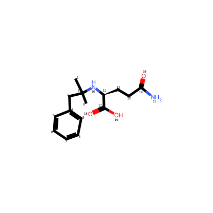 CC(C)(Cc1ccccc1)N[C@@H](CCC(N)=O)C(=O)O